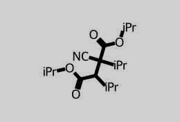 CC(C)OC(=O)C(C(C)C)C(C#N)(C(=O)OC(C)C)C(C)C